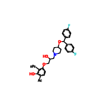 CCCc1c(OCC(O)CN2CCC(OC(c3ccc(F)cc3)c3ccc(F)cc3)CC2)ccc(C(C)=O)c1O